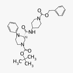 CC(C)(C)OC(=O)N1CCN(c2ccccc2)[C@H](C(=O)NC2CCN(C(=O)OCc3ccccc3)CC2)C1